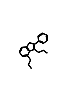 CCCC1=C(c2ccccc2)[CH]c2cccc(CCC)c21